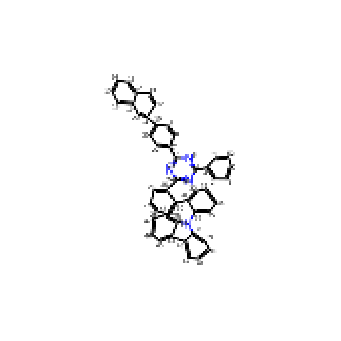 c1ccc(-c2nc(-c3ccc(-c4ccc5ccccc5c4)cc3)nc(-c3ccccc3-c3ccccc3-n3c4ccccc4c4ccccc43)n2)cc1